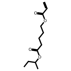 C=CC(=O)OCCCCC(=O)OC(C)CC